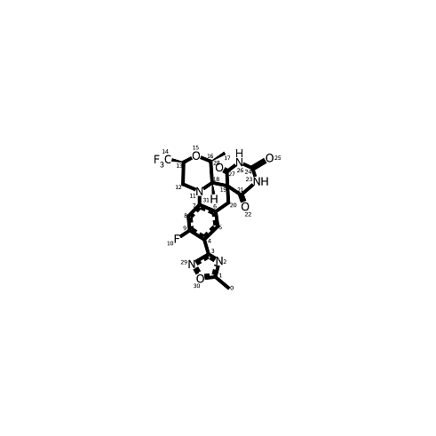 Cc1nc(-c2cc3c(cc2F)N2C[C@@H](C(F)(F)F)O[C@@H](C)[C@@H]2C2(C3)C(=O)NC(=O)NC2=O)no1